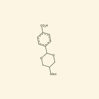 CCCCCCCCC1COC(c2ccc(C(=O)O)cc2)OC1